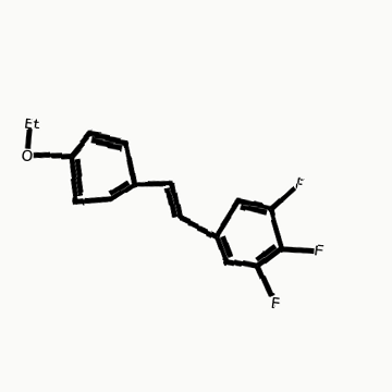 CCOc1ccc(C=Cc2cc(F)c(F)c(F)c2)cc1